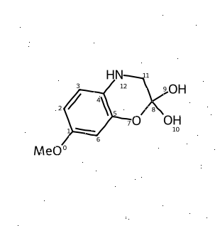 COc1ccc2c(c1)OC(O)(O)CN2